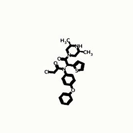 C[C@@H]1CN(C(=O)[C@H](c2cccs2)N(C(=O)CCl)c2ccc(Oc3ccccc3)cc2)C[C@H](C)N1